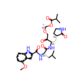 COc1cccc2[nH]c(C(=O)N[C@@H](CC(C)C)C(=O)N[C@@H](C[C@@H]3CCNC3=O)C(=O)CO[C@H](C)OC(=O)C(C)C)cc12